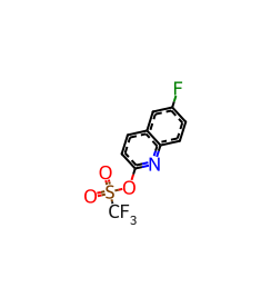 O=S(=O)(Oc1ccc2cc(F)ccc2n1)C(F)(F)F